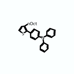 CCCCCCCCc1ccsc1-c1ccc(N(c2ccccc2)c2ccccc2)cc1